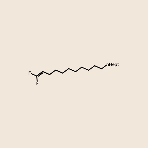 CCCCCCCCCCCCCCCCC=C(F)F